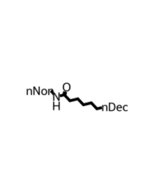 CCCCCCCCCCCCCCCC(=O)NCCCCCCCCC